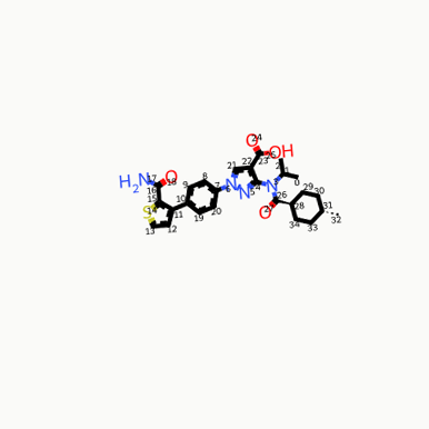 CC(C)N(c1nn(-c2ccc(-c3ccsc3C(N)=O)cc2)cc1C(=O)O)C(=O)[C@H]1CC[C@H](C)CC1